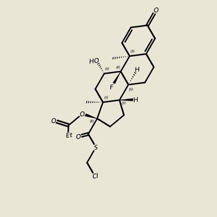 CCC(=O)O[C@]1(C(=O)SCCl)CC[C@H]2[C@@H]3CCC4=CC(=O)C=C[C@]4(C)[C@@]3(F)[C@@H](O)C[C@@]21C